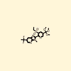 CCS(=O)(=O)c1cc(C(OC)(OC)OC)cnc1-c1nc2cc(C(C)(F)F)cnc2n1C